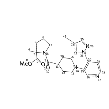 COC(=O)C1(C)CCCN1C(=O)C1CCN(c2cnccc2-n2cc(C)cn2)CC1